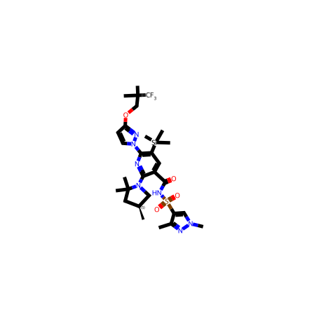 Cc1nn(C)cc1S(=O)(=O)NC(=O)c1cc([Si](C)(C)C)c(-n2ccc(OCC(C)(C)C(F)(F)F)n2)nc1N1C[C@@H](C)CC1(C)C